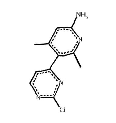 Cc1cc(N)nc(C)c1-c1ccnc(Cl)n1